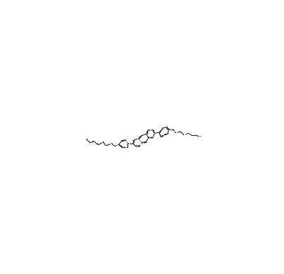 CCCCCCCCc1ccc(-c2ccc3cc4cc(-c5ccc(CCCCCCCC)cc5)ccc4cc3c2)cc1